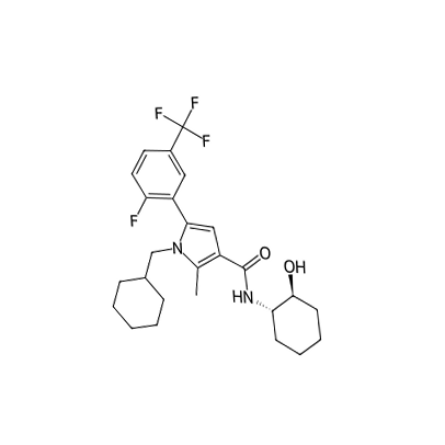 Cc1c(C(=O)N[C@H]2CCCC[C@@H]2O)cc(-c2cc(C(F)(F)F)ccc2F)n1CC1CCCCC1